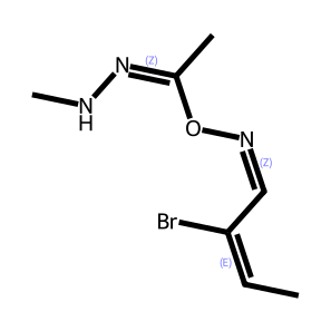 C/C=C(Br)\C=N/O/C(C)=N\NC